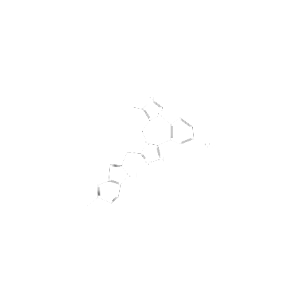 CCOC(=O)c1ncn2c1Cn1c(Cc3cc4cc(C)ccc4[nH]3)nnc1-c1cc(OC)ccc1-2